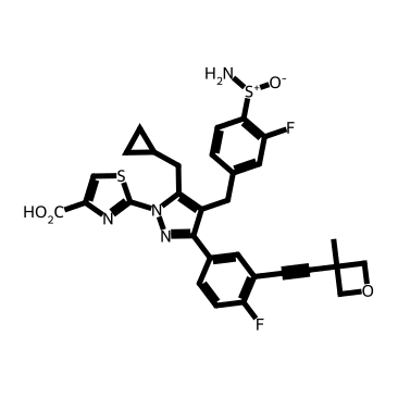 CC1(C#Cc2cc(-c3nn(-c4nc(C(=O)O)cs4)c(CC4CC4)c3Cc3ccc([S+](N)[O-])c(F)c3)ccc2F)COC1